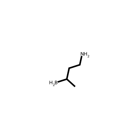 BC(C)CCN